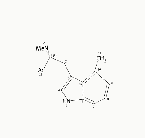 CN[C@H](Cc1c[nH]c2cccc(C)c12)C(C)=O